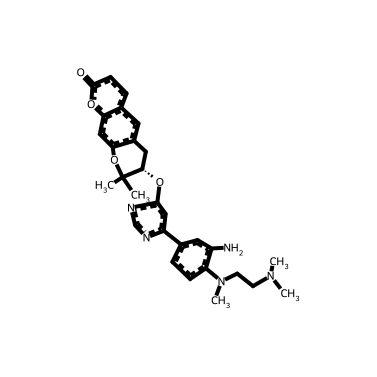 CN(C)CCN(C)c1ccc(-c2cc(O[C@H]3Cc4cc5ccc(=O)oc5cc4OC3(C)C)ncn2)cc1N